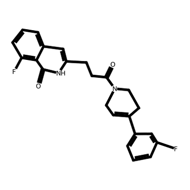 O=C(CCc1cc2cccc(F)c2c(=O)[nH]1)N1CC=C(c2cccc(F)c2)CC1